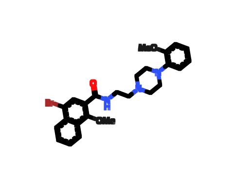 COc1ccccc1N1CCN(CCNC(=O)c2cc(Br)c3ccccc3c2OC)CC1